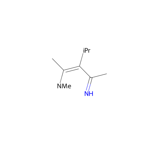 CN/C(C)=C(\C(C)=N)C(C)C